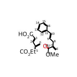 C=C(C=CC(=O)O)C(=O)OCC.C=C(CC=Cc1ccccc1)C(=O)OC